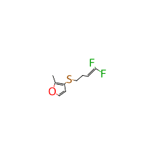 Cc1occc1SCCC=C(F)F